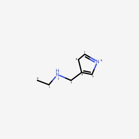 CCNCC1=CN=CC1